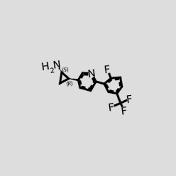 N[C@H]1C[C@@H]1c1ccc(-c2cc(C(F)(F)F)ccc2F)nc1